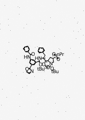 CCCS(=O)(=O)C1CC([C@@H](O[Si](C)(C)C(C)(C)C)[C@H](Cc2ccccc2)NC(=O)c2cc(NC(=O)c3ccccc3)cc(-c3ncco3)c2)N(C(=O)OC(C)(C)C)C1